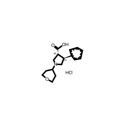 Cl.O=C(O)[C@H]1CN(C2CCOCC2)C[C@@H]1c1ccccc1